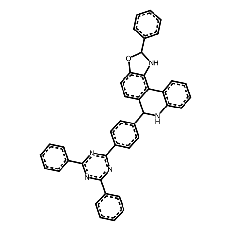 c1ccc(-c2nc(-c3ccccc3)nc(-c3ccc(C4Nc5ccccc5-c5c4ccc4c5NC(c5ccccc5)O4)cc3)n2)cc1